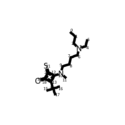 CCCN(CC)CCCCN(C)c1c(C(C)(C)C)c(=O)c1=S